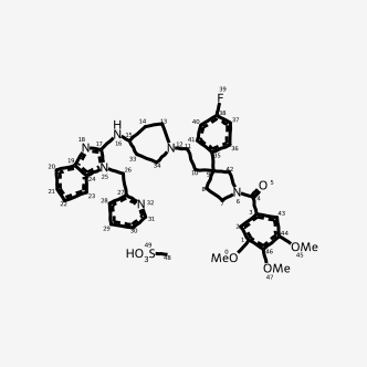 COc1cc(C(=O)N2CCC(CCN3CCC(Nc4nc5ccccc5n4Cc4ccccn4)CC3)(c3ccc(F)cc3)C2)cc(OC)c1OC.CS(=O)(=O)O